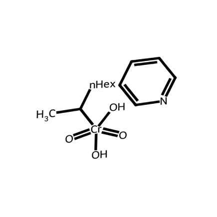 CCCCCC[CH](C)[Cr](=[O])(=[O])([OH])[OH].c1ccncc1